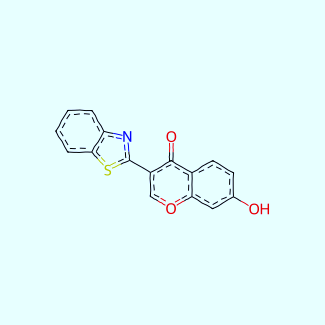 O=c1c(-c2nc3ccccc3s2)coc2cc(O)ccc12